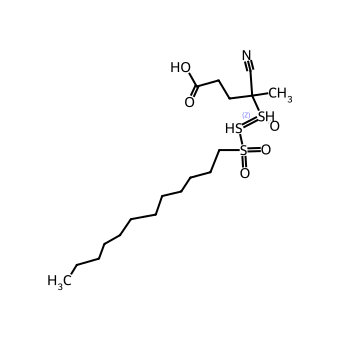 CCCCCCCCCCCCS(=O)(=O)/[SH]=[SH](=O)/C(C)(C#N)CCC(=O)O